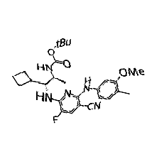 COc1cc(Nc2nc(N[C@H](C3CCC3)[C@H](C)NC(=O)OC(C)(C)C)c(F)cc2C#N)ccc1C